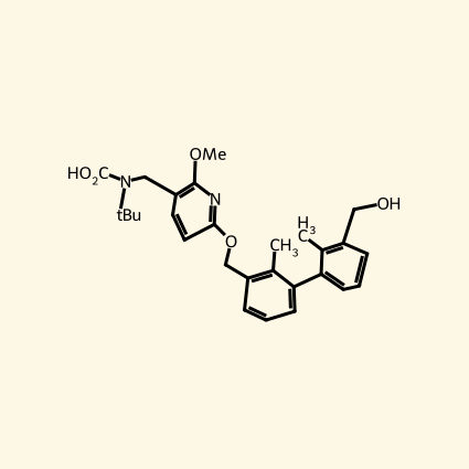 COc1nc(OCc2cccc(-c3cccc(CO)c3C)c2C)ccc1CN(C(=O)O)C(C)(C)C